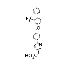 O=C(O)Cc1ccc(-c2ccc(COc3ccc(-c4ccccc4)c(C(F)(F)F)c3)cc2)nc1